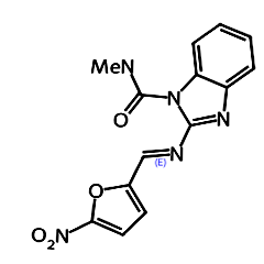 CNC(=O)n1c(/N=C/c2ccc([N+](=O)[O-])o2)nc2ccccc21